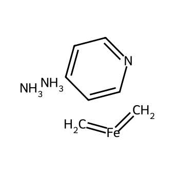 N.N.[CH2]=[Fe]=[CH2].c1ccncc1